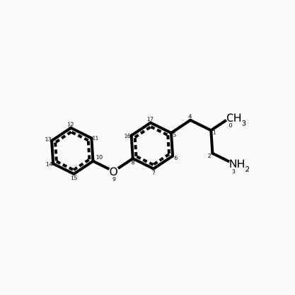 CC(CN)Cc1ccc(Oc2ccccc2)cc1